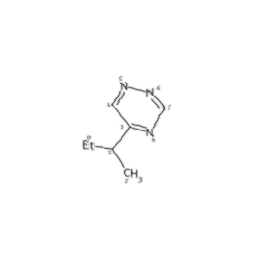 CCC(C)c1cnncn1